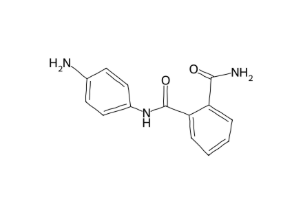 NC(=O)c1ccccc1C(=O)Nc1ccc(N)cc1